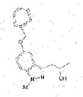 CC(=O)n1nc(CC(C)O)c2cc(OCc3ccccc3)ccc21